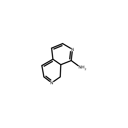 NC1=NC=CC2=CC=NCC21